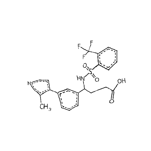 Cc1cnccc1-c1cccc(C(CCC(=O)O)NS(=O)(=O)c2ccccc2C(F)(F)F)c1